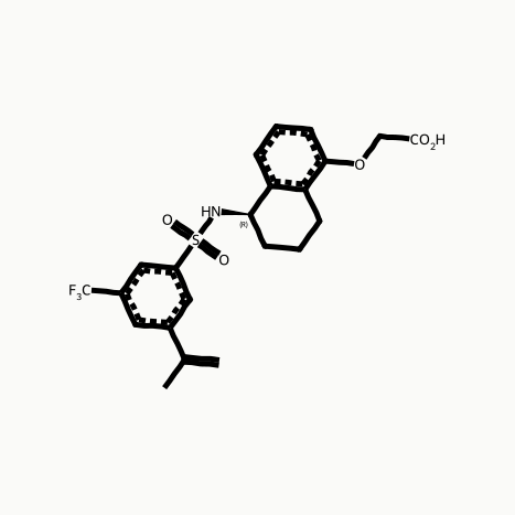 C=C(C)c1cc(C(F)(F)F)cc(S(=O)(=O)N[C@@H]2CCCc3c(OCC(=O)O)cccc32)c1